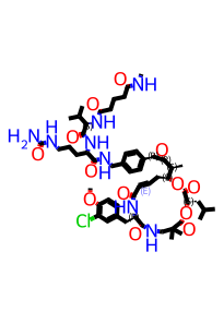 CNC(=O)CCCC(=O)N[C@H](C(=O)NC(CCCNC(N)=O)C(=O)NCc1ccc([C@H]2O[C@@H]2[C@@H](C)[C@@H]2C/C=C/C(=O)N[C@H](Cc3ccc(OC)c(Cl)c3)C(=O)NCC(C)(C)C(=O)O[C@@H](CC(C)C)C(=O)O2)cc1)C(C)C